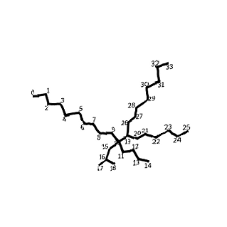 CCCCCCCCCCC(CCCC)(CC(C)C)[C](CCCCCC)CCCCCCCC